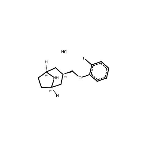 Cl.Fc1ccccc1OC[C@H]1C[C@H]2CC[C@@H](C1)N2